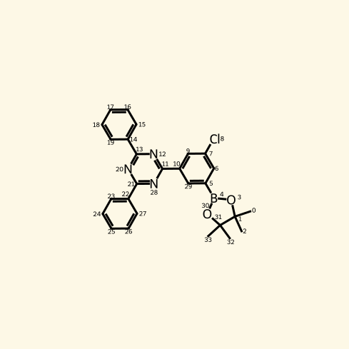 CC1(C)OB(c2cc(Cl)cc(-c3nc(-c4ccccc4)nc(-c4ccccc4)n3)c2)OC1(C)C